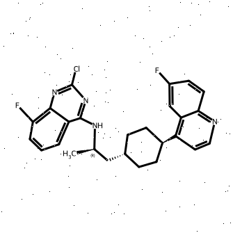 C[C@H](C[C@H]1CC[C@H](c2ccnc3ccc(F)cc32)CC1)Nc1nc(Cl)nc2c(F)cccc12